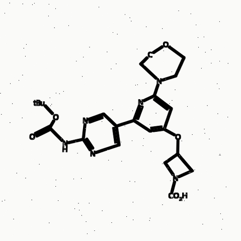 CC(C)(C)OC(=O)Nc1ncc(-c2cc(OC3CN(C(=O)O)C3)cc(N3CCOCC3)n2)cn1